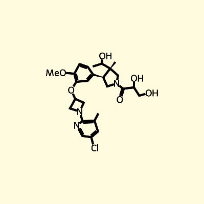 COc1ccc([C@@H]2CN(C(=O)C(O)CO)C[C@@]2(C)C(C)O)cc1OC1CN(c2ncc(Cl)cc2C)C1